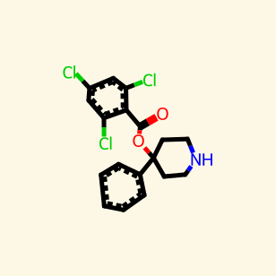 O=C(OC1(c2ccccc2)CCNCC1)c1c(Cl)cc(Cl)cc1Cl